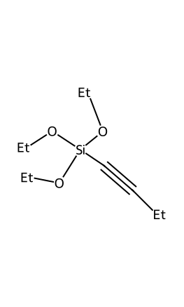 CCC#C[Si](OCC)(OCC)OCC